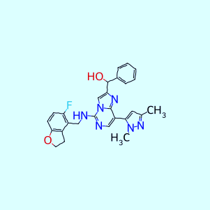 Cc1cc(-c2cnc(NCc3c(F)ccc4c3CCO4)n3cc(C(O)c4ccccc4)nc23)n(C)n1